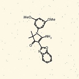 COc1cc(OC)cc(N2C(N)=C(c3nc4ccccc4o3)C(=O)C2(C)C)c1